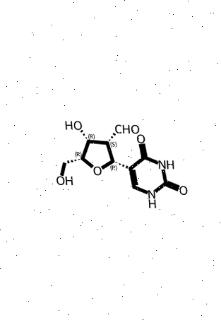 O=C[C@H]1[C@@H](O)[C@@H](CO)O[C@H]1c1c[nH]c(=O)[nH]c1=O